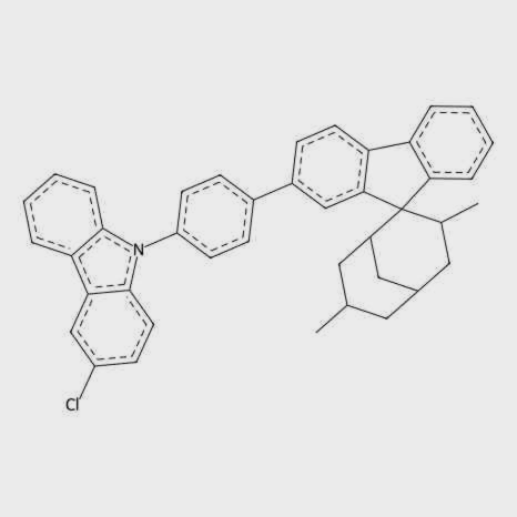 CC1CC2CC(C)C3(c4ccccc4-c4ccc(-c5ccc(-n6c7ccccc7c7cc(Cl)ccc76)cc5)cc43)C(C1)C2